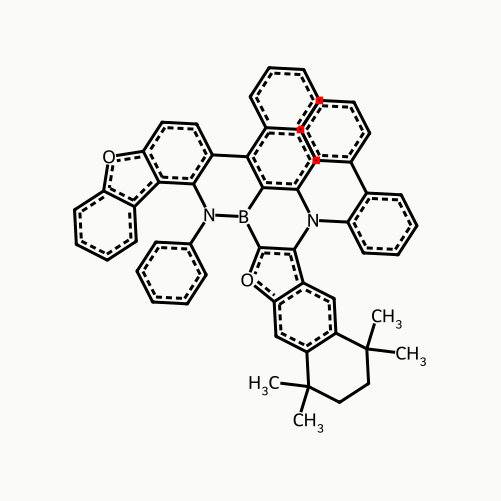 CC1(C)CCC(C)(C)c2cc3c4c(oc3cc21)B1c2c(cc3ccccc3c2-c2ccc3oc5ccccc5c3c2N1c1ccccc1)N4c1ccccc1-c1ccccc1